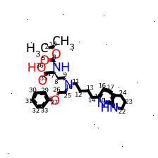 CC(C)OC(=O)N[C@@H](CCN(CCCCc1ccc2c(n1)NCCC2)CCOc1ccccc1)C(=O)O